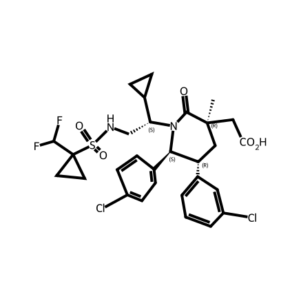 C[C@]1(CC(=O)O)C[C@H](c2cccc(Cl)c2)[C@@H](c2ccc(Cl)cc2)N([C@H](CNS(=O)(=O)C2(C(F)F)CC2)C2CC2)C1=O